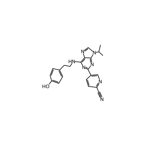 CC(C)n1cnc2c(NCCc3ccc(O)cc3)nc(-c3ccc(C#N)nc3)nc21